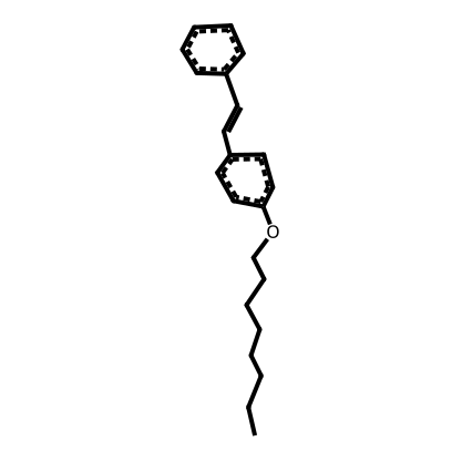 CCCCCCCCOc1ccc(C=Cc2ccccc2)cc1